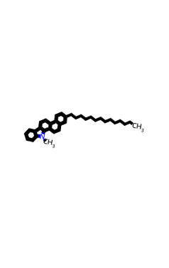 CCCCCCCCCCCCCCc1ccc2c(ccc3c2ccc2c4ccccc4n(C)c32)c1